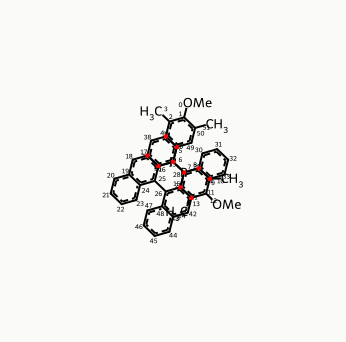 COc1c(C)cc(P(c2cc(C)c(OC)c(C)c2)c2ccc3ccccc3c2-c2c(P(c3ccccc3)c3ccccc3)ccc3ccccc23)cc1C